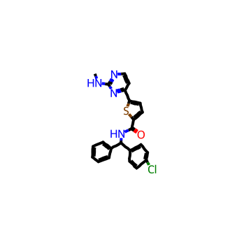 CNc1nccc(-c2ccc(C(=O)NC(c3ccccc3)c3ccc(Cl)cc3)s2)n1